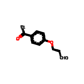 CCC(=O)c1ccc(OCCC=O)cc1